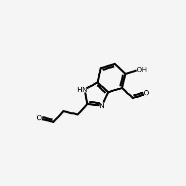 O=CCCc1nc2c(C=O)c(O)ccc2[nH]1